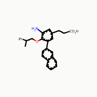 CC(C)C(C)COc1c(N)cc(CCC(=O)O)cc1-c1ccc2ccccc2c1